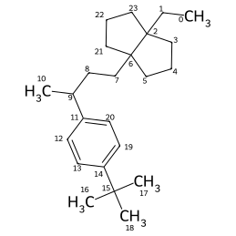 CCC12CCCC1(CCC(C)c1ccc(C(C)(C)C)cc1)CCC2